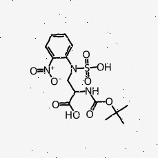 CC(C)(C)OC(=O)NC(CN(c1ccccc1[N+](=O)[O-])S(=O)(=O)O)C(=O)O